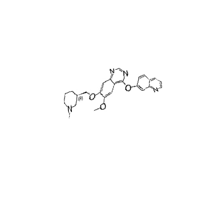 COc1cc2c(Oc3ccc4cccnc4c3)ncnc2cc1OC[C@@H]1CCCN(C)C1